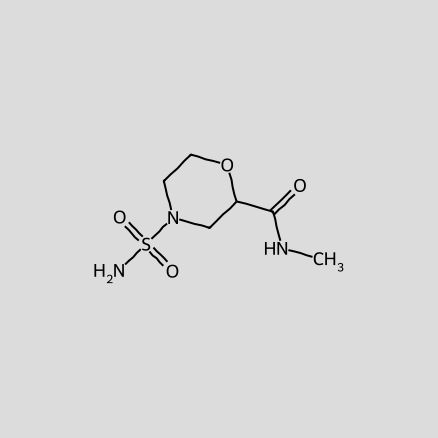 CNC(=O)C1CN(S(N)(=O)=O)CCO1